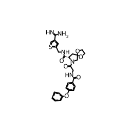 N=C(N)c1csc(CNC(=O)[C@@H]2CC3(CN2C(=O)CNC(=O)c2ccc(Oc4ccccc4)cc2)OCCO3)c1